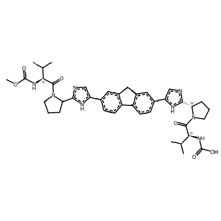 COC(=O)N[C@H](C(=O)N1CCCC1c1ncc(-c2ccc3c(c2)Cc2cc(-c4cnc([C@@H]5CCCN5C(=O)[C@@H](NC(=O)O)C(C)C)[nH]4)ccc2-3)[nH]1)C(C)C